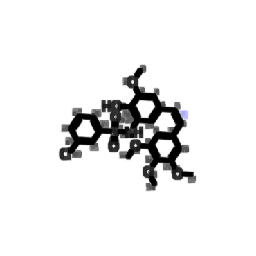 COc1cc(/C=C\c2cc(OC)c(OC)c(OC)c2)cc(NS(=O)(=O)c2cccc(Cl)c2)c1O